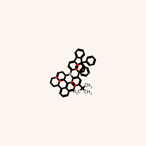 CC(C)(C)c1ccc(N(c2ccc3c(c2)C(c2ccccc2)(c2ccccc2)c2ccccc2-3)C2CC=CC=C2c2cccc3cccc(C4CCCCC4)c23)c(-c2ccccc2)c1